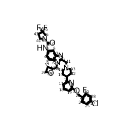 O=C(Nc1ccc2c(c1)nc(CN1CCC(c3cccc(OCc4ccc(Cl)cc4F)n3)CC1)n2C[C@@H]1CCO1)N1CCC(F)(F)C1